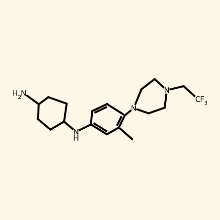 Cc1cc(NC2CCC(N)CC2)ccc1N1CCN(CC(F)(F)F)CC1